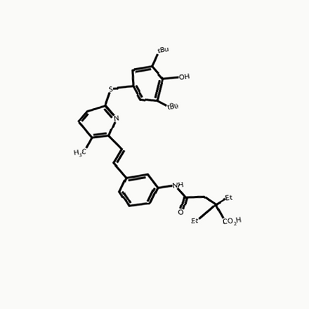 CCC(CC)(CC(=O)Nc1cccc(C=Cc2nc(Sc3cc(C(C)(C)C)c(O)c(C(C)(C)C)c3)ccc2C)c1)C(=O)O